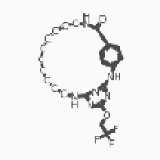 O=C1NCCCCCCCCCCNc2nc(nc(OCC(F)(F)F)n2)Nc2ccc1cc2